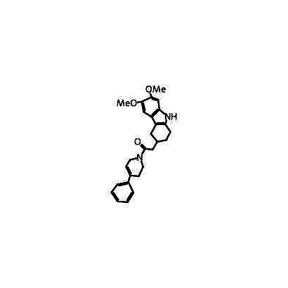 COc1cc2[nH]c3c(c2cc1OC)CC(CC(=O)N1CC=C(c2ccccc2)CC1)CC3